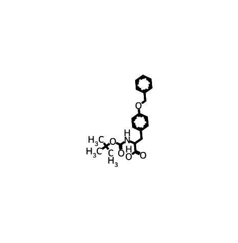 CC(C)(C)OC(=O)NC(Cc1ccc(OCc2ccccc2)cc1)C(=O)O